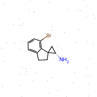 N[C@H]1CC12CCc1cccc(Br)c12